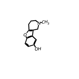 CN1CCCc2oc3ccc(O)cc3c2C1